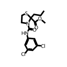 CCCC1(C(=O)OC)SCCN1C(=O)Nc1cc(Cl)cc(Cl)c1